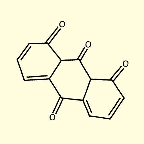 O=C1C2=CC=CC(=O)C2C(=O)C2C(=O)C=CC=C12